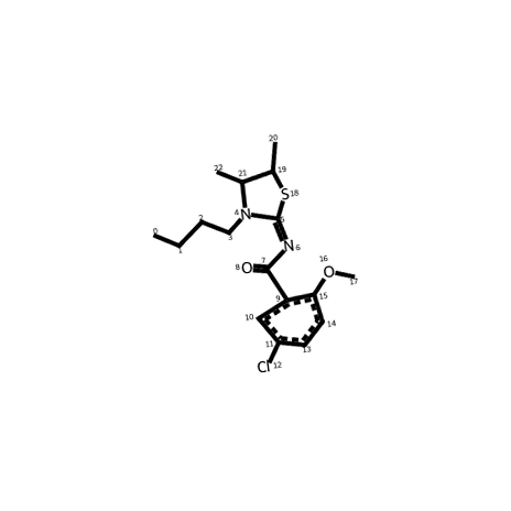 CCCCN1C(=NC(=O)c2cc(Cl)ccc2OC)SC(C)C1C